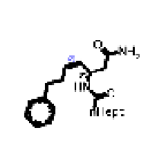 CCCCCCCC(=O)N[C@@H](/C=C\CCc1ccccc1)CC(N)=O